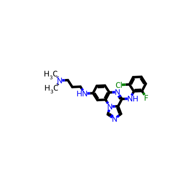 CN(C)CCCNc1ccc2nc(Nc3c(F)cccc3Cl)c3cncn3c2c1